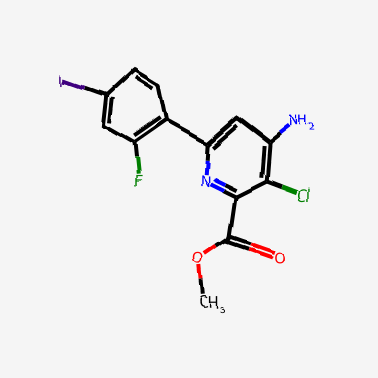 COC(=O)c1nc(-c2ccc(I)cc2F)cc(N)c1Cl